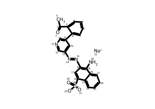 CC(=O)c1ccccc1-c1cncc(N=Nc2cc(S(=O)(=O)[O-])c3ccccc3c2N)c1.[Na+]